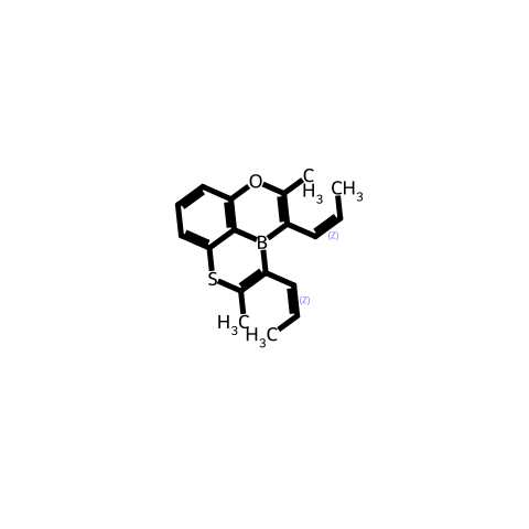 C/C=C\C1=C(C)Oc2cccc3c2B1C(/C=C\C)=C(C)S3